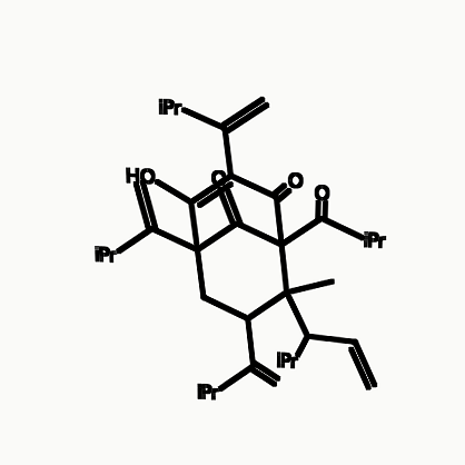 C=CC(C(C)C)C1(C)C(C(=C)C(C)C)CC2(C(=C)C(C)C)C(=O)C1(C(=O)C(C)C)C(=O)C(C(=C)C(C)C)=C2O